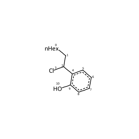 CCCCCCCC(Cl)c1ccccc1O